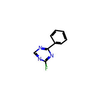 Fc1ncnc(-c2ccccc2)n1